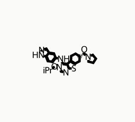 CC(C)Oc1cc2[nH]ncc2cc1Nc1ncnc2sc3c(c12)CC[C@H](C(=O)N1CCCC1)C3